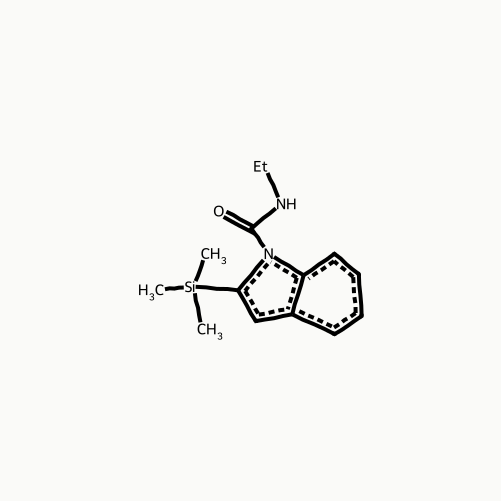 CCNC(=O)n1c([Si](C)(C)C)cc2ccccc21